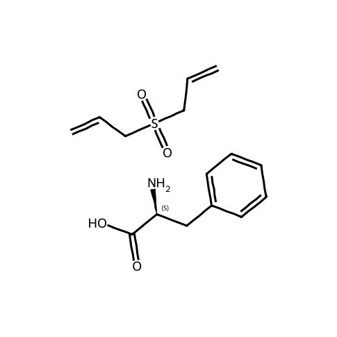 C=CCS(=O)(=O)CC=C.N[C@@H](Cc1ccccc1)C(=O)O